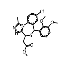 COC(=O)CC1SC(c2cccc(OC)c2OC)c2cc(Cl)ccc2-n2c(C)nnc21